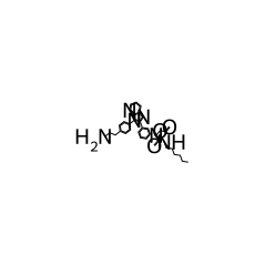 CCCCCCNC(=O)N(OC=O)c1cccc(-c2nc3cccnc3n2-c2ccc(CCN)cc2)c1